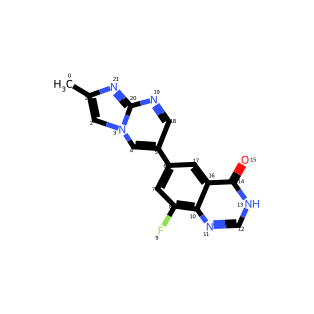 Cc1cn2cc(-c3cc(F)c4nc[nH]c(=O)c4c3)cnc2n1